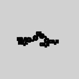 CC(c1ccc(Cc2ccc(C(=O)O)c(C(=O)O)c2)cc1)c1ccc(Cc2ccc(C(=O)O)c(C(=O)O)c2)cc1